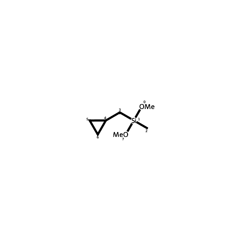 CO[Si](C)([CH]C1CC1)OC